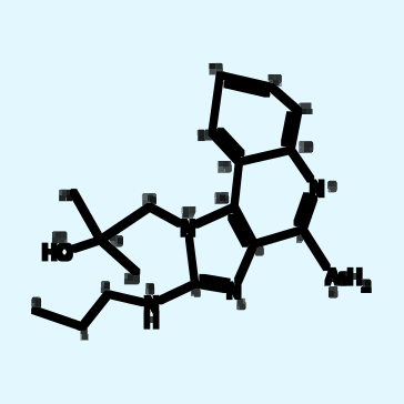 CCCNc1nc2c([AsH2])nc3ccccc3c2n1CC(C)(C)O